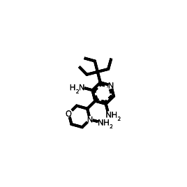 CCC(CC)(CC)c1ncc(N)c(C2COCCN2N)c1N